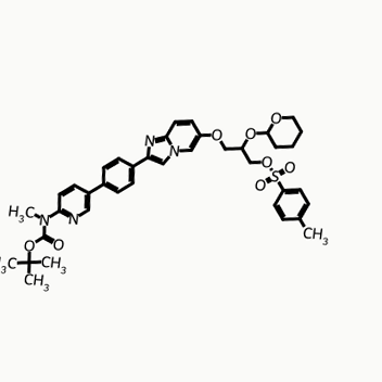 Cc1ccc(S(=O)(=O)OCC(COc2ccc3nc(-c4ccc(-c5ccc(N(C)C(=O)OC(C)(C)C)nc5)cc4)cn3c2)OC2CCCCO2)cc1